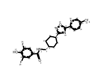 O=C(NC[C@H]1CC[C@H](c2noc(-c3ccc(C(F)(F)F)cn3)n2)CC1)c1cc(F)c(O)c(F)c1